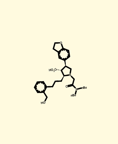 CCCCN(CCCC)C(=O)CN1C[C@H](c2ccc3c(c2)CCO3)[C@@H](C(=O)O)[C@@H]1CCCc1ccccc1CO